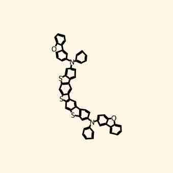 c1ccc(N(c2ccc3c(c2)sc2cc4sc5cc6sc7cc(N(c8ccccc8)c8ccc9oc%10ccccc%10c9c8)ccc7c6cc5c4cc23)c2ccc3oc4ccccc4c3c2)cc1